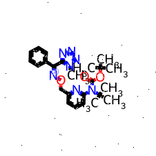 Cn1nnnc1/C(=N\OCc1cccc(N(C(=O)OC(C)(C)C)C(C)(C)C)n1)c1ccccc1